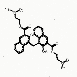 CCN(CC)CCOC(=O)c1cc2ccccc2c(Cc2c(O)c(C(=O)OCCN(CC)CC)cc3ccccc23)c1O